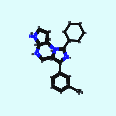 Cc1cccc(-c2nc(C3CCCCC3)n3c2cnc2[nH]ccc23)c1